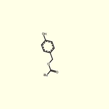 CCC(C)C(=O)OCc1ccc(O)cc1